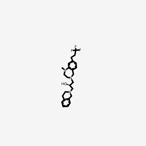 CN1CCN(C[C@H](O)CN2CCc3ccccc3C2)Cc2ccc(CCC(F)(F)F)cc21